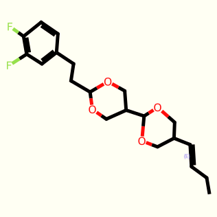 CC/C=C/C1COC(C2COC(CCc3ccc(F)c(F)c3)OC2)OC1